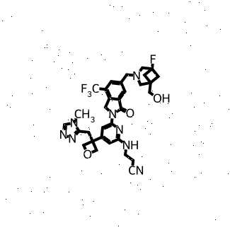 Cn1cnnc1CC1(c2cc(NCCC#N)nc(N3Cc4c(cc(CN5CC6(F)CC(CO)(C5)C6)cc4C(F)(F)F)C3=O)c2)COC1